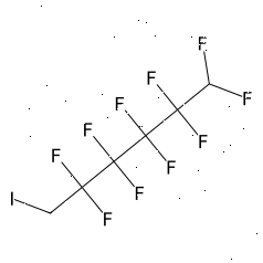 FC(F)C(F)(F)C(F)(F)C(F)(F)C(F)(F)CI